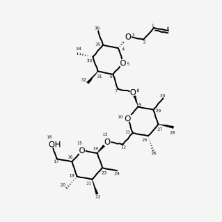 C=CCO[C@@H]1OC(CO[C@@H]2OC(CO[C@@H]3OC(CO)[C@@H](C)[C@H](C)C3C)[C@@H](C)[C@H](C)C2C)[C@@H](C)[C@H](C)C1C